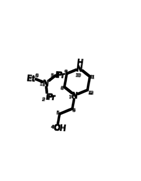 CCN(C(C)C)C(C)C.OCCN1CCNCC1